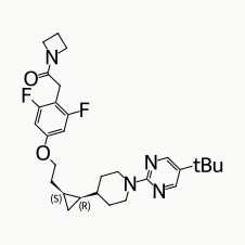 CC(C)(C)c1cnc(N2CCC([C@H]3C[C@H]3CCOc3cc(F)c(CC(=O)N4CCC4)c(F)c3)CC2)nc1